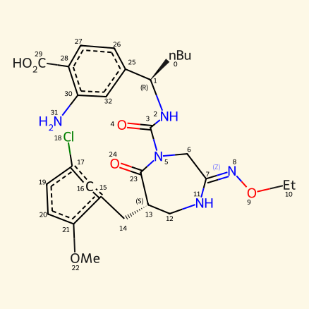 CCCC[C@@H](NC(=O)N1C/C(=N/OCC)NC[C@H](Cc2cc(Cl)ccc2OC)C1=O)c1ccc(C(=O)O)c(N)c1